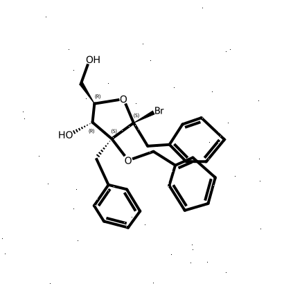 OC[C@H]1O[C@](Br)(Cc2ccccc2)[C@@](Cc2ccccc2)(OCc2ccccc2)[C@@H]1O